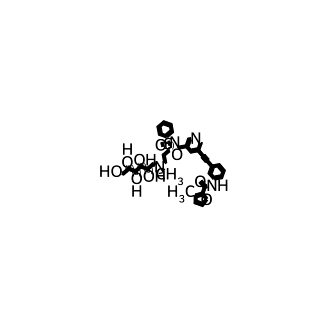 Cc1ccoc1C(=O)Nc1cccc(C#Cc2cncc(C(=O)N=[S@](=O)(CCCN(C)C[C@H](O)[C@@H](O)[C@@H](O)[C@H](O)CO)c3ccccc3)c2)c1